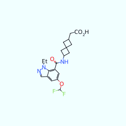 CCn1ncc2cc(OC(F)F)cc(C(=O)NC3CC4(CC(CC(=O)O)C4)C3)c21